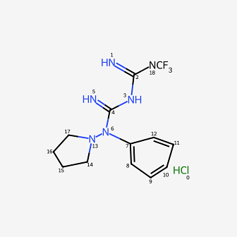 Cl.N=C(NC(=N)N(c1ccccc1)N1CCCC1)NC(F)(F)F